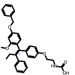 CC/C(=C(/c1ccc(OCCNC(=O)O)cc1)c1ccc(OCc2ccccc2)cc1OC)c1ccccc1